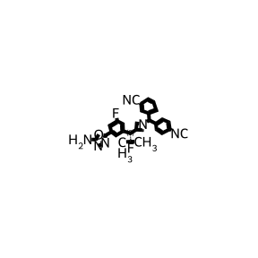 [C-]#[N+]c1ccc(C(c2cccc(C#N)c2)N2CC([C@@H](c3cc(F)cc(-c4nnc(N)o4)c3)C(C)(C)F)C2)cc1